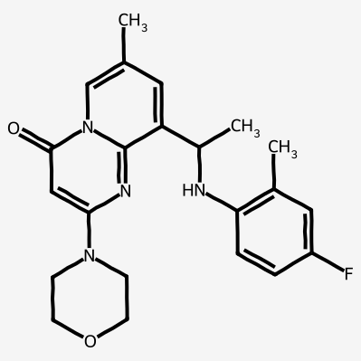 Cc1cc(C(C)Nc2ccc(F)cc2C)c2nc(N3CCOCC3)cc(=O)n2c1